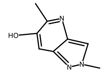 Cc1nc2cn(C)nc2cc1O